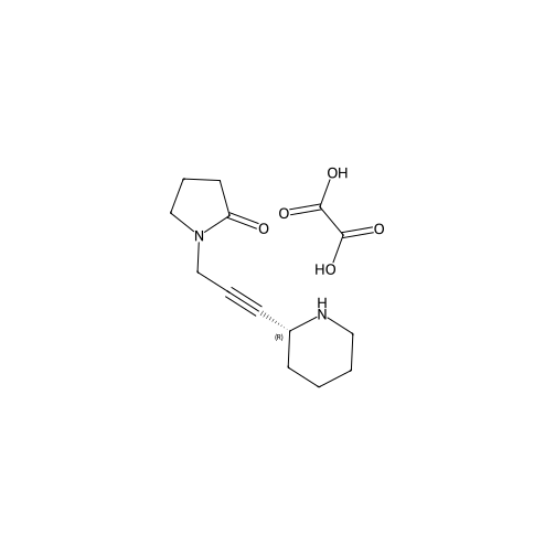 O=C(O)C(=O)O.O=C1CCCN1CC#C[C@H]1CCCCN1